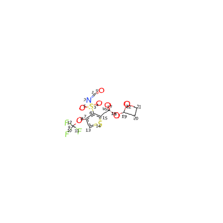 O=C=NS(=O)(=O)c1c(OC(F)(F)F)csc1C(=O)OC1CCO1